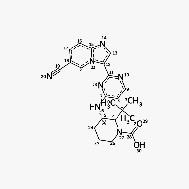 CC(C)(C)C1[C@@H](Nc2ccnc(-c3cnc4ccc(C#N)cn34)n2)CCCN1C(=O)O